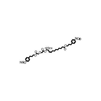 CCCCCC[C@H](C/C=C\CCCCCCCC(=O)OCCCc1ccc(N=C=O)cc1)OC(=O)COCC(=O)OCCCc1ccc(OC#N)cc1